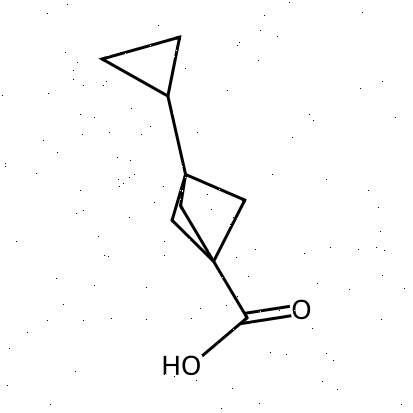 O=C(O)C12CC(C3CC3)(C1)C2